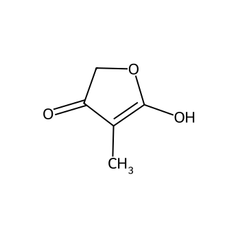 CC1=C(O)OCC1=O